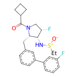 CC[S+]([O-])N[C@H]1[C@@H](F)CN(C(=O)C2CCC2)[C@H]1Cc1cccc(-c2cccc(F)c2)c1